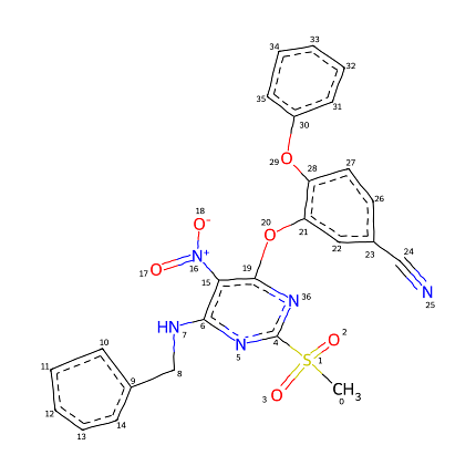 CS(=O)(=O)c1nc(NCc2ccccc2)c([N+](=O)[O-])c(Oc2cc(C#N)ccc2Oc2ccccc2)n1